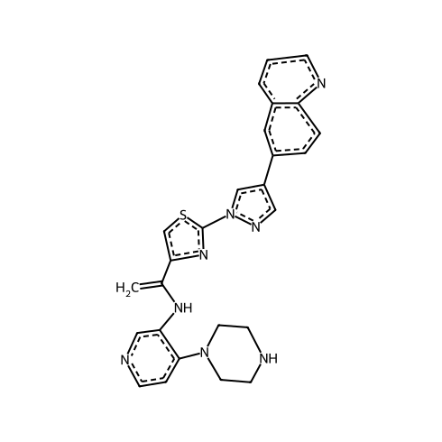 C=C(Nc1cnccc1N1CCNCC1)c1csc(-n2cc(-c3ccc4ncccc4c3)cn2)n1